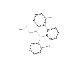 CN(C)CCN(c1ccccc1-c1ccccc1C=O)c1ncccc1N